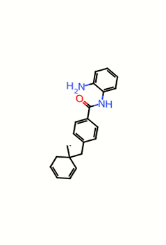 [CH2]C1(Cc2ccc(C(=O)Nc3ccccc3N)cc2)C=CC=CC1